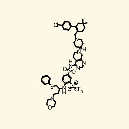 [2H]C1(N2CCc3c(ncnc3NS(=O)(=O)c3ccc(NC(CCN4CCOCC4)CSc4ccccc4)c(S(=O)(=O)C(F)(F)F)c3)C2)CCN(CC2=C(c3ccc(Cl)cc3)CC(C)(C)CC2)CC1